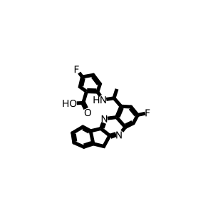 CC(Nc1ccc(F)cc1C(=O)O)c1cc(F)cc2nc3c(nc12)-c1ccccc1C3